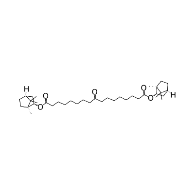 CC1(C)[C@H]2CC[C@]1(C)[C@H](OC(=O)CCCCCCCC(=O)CCCCCCCC(=O)O[C@@H]1C[C@@H]3CC[C@@]1(C)C3(C)C)C2